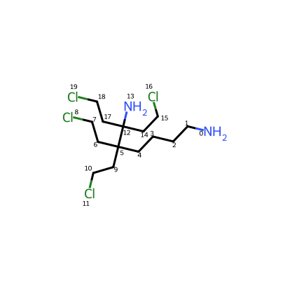 NCCCCC(CCCl)(CCCl)C(N)(CCCl)CCCl